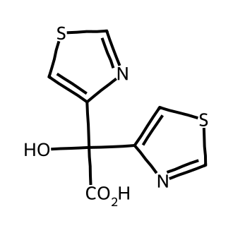 O=C(O)C(O)(c1cscn1)c1cscn1